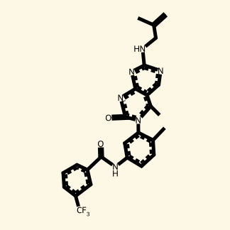 C=C(C)CNc1ncc2c(C)n(-c3cc(NC(=O)c4cccc(C(F)(F)F)c4)ccc3C)c(=O)nc2n1